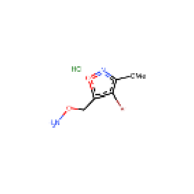 COc1noc(CON)c1Br.Cl